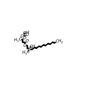 CCCCCCCCCCCC[N+](C)(C)CCOC(=O)CC(C)OS(=O)(=O)O